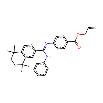 C=CCOC(=O)c1ccc(N=C(Nc2ccccc2)c2ccc3c(c2)C(C)(C)CCC3(C)C)cc1